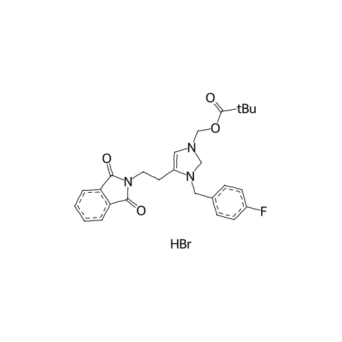 Br.CC(C)(C)C(=O)OCN1C=C(CCN2C(=O)c3ccccc3C2=O)N(Cc2ccc(F)cc2)C1